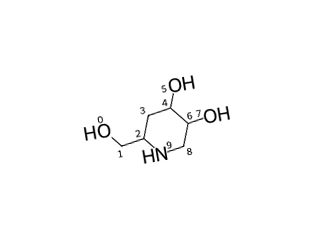 OCC1CC(O)C(O)CN1